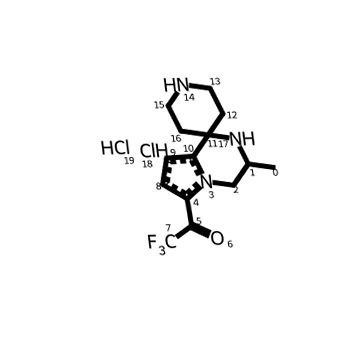 CC1Cn2c(C(=O)C(F)(F)F)ccc2C2(CCNCC2)N1.Cl.Cl